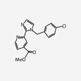 COC(=O)c1ccnc(-c2nccn2Cc2ccc(Cl)cc2)c1